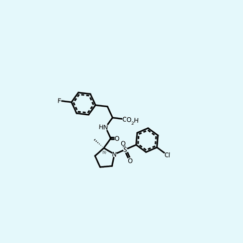 C[C@@]1(C(=O)NC(Cc2ccc(F)cc2)C(=O)O)CCCN1S(=O)(=O)c1cccc(Cl)c1